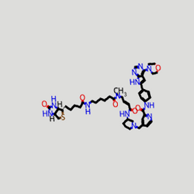 CN(C/C=C/C(=O)N[C@@H]1CCCN(Cc2ccnc(C(=O)Nc3ccc(-c4cc5c(N6CCOCC6)ncnc5[nH]4)cc3)c2)C1)C(=O)CCCCCNC(=O)CCCC[C@@H]1SC[C@@H]2NC(=O)N[C@@H]21